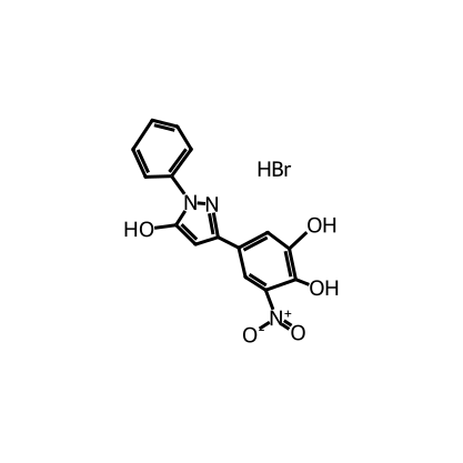 Br.O=[N+]([O-])c1cc(-c2cc(O)n(-c3ccccc3)n2)cc(O)c1O